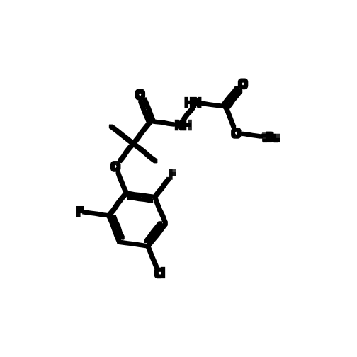 CC(C)(C)OC(=O)NNC(=O)C(C)(C)Oc1c(F)cc(Cl)cc1F